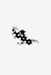 CCOC(=O)c1cn2c(cc1=O)-c1cc(OC)c(-c3cccc(OC)c3)cc1CC21CCC1